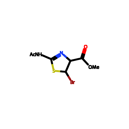 COC(=O)C1N=C(NC(C)=O)SC1Br